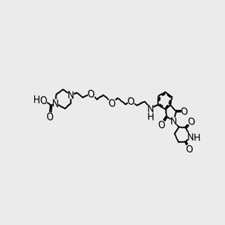 O=C1CCC(N2C(=O)c3cccc(NCCOCCOCCOCCN4CCN(C(=O)O)CC4)c3C2=O)C(=O)N1